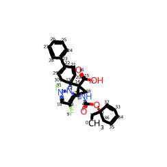 CCC1(OC(=O)Nc2c(F)cnn2C2(C3(C(=O)O)CC3)C=CC(c3ccccc3)=C[C@H]2F)C=CC=CC1